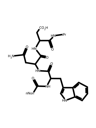 CCCCCCCCCC(=O)NC(Cc1c[nH]c2ccccc12)C(=O)NC(CC(N)=O)C(=O)NC(CC(=O)O)C(=O)NC(C)C